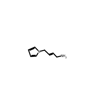 NCC=C[CH]n1cccc1